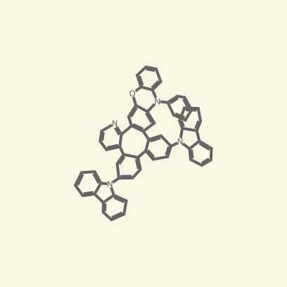 c1ccc(-n2c3ccccc3oc3cc4c(cc32)c2cc(-n3c5ccccc5c5ccccc53)ccc2c2ccc(-n3c5ccccc5c5ccccc53)cc2c2cccnc24)cc1